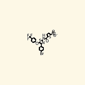 O=C(Nc1nc(-c2ccc(Br)cc2)c(Oc2ccc(C(F)(F)F)cc2)s1)c1ccc([N+](=O)[O-])s1